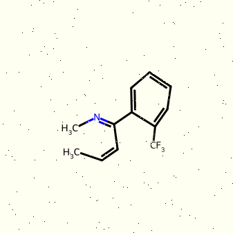 C/C=C\C(=N/C)c1ccccc1C(F)(F)F